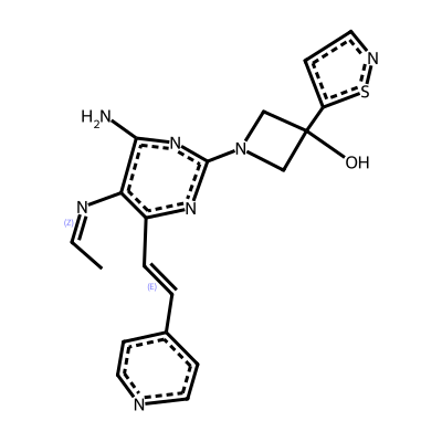 C/C=N\c1c(N)nc(N2CC(O)(c3ccns3)C2)nc1/C=C/c1ccncc1